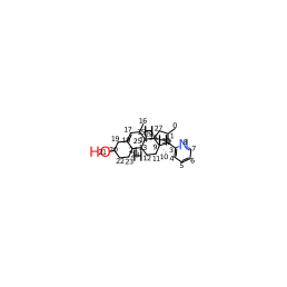 CC1=C(c2ccccn2)[C@@]2(C)CC[C@@H]3[C@@H](C(C)C=C4CC(O)CC[C@@]43C)[C@@H]2C1